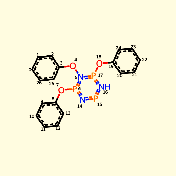 c1ccc(On2p(Oc3ccccc3)np[nH]p2Oc2ccccc2)cc1